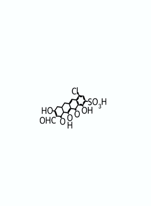 O=CC1=C(O)CC2CC3=Cc4c(Cl)cc(S(=O)(=O)O)c(O)c4C(=O)C3=C(O)C2C1=O